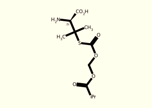 CC(C)C(=O)OCOC(=O)SC(C)(C)[C@@H](N)C(=O)O